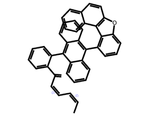 C=C(/C=C\C=C/C)c1ccccc1-c1c2ccccc2c(-c2cccc3oc4ccc5ccccc5c4c23)c2ccccc12